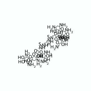 NCC1O[C@H](OC2C(N)C[C@@H](N)C(O)[C@H]2O[C@@H]2O[C@H](CNC(=S)NCCCNC(=S)NC[C@H]3O[C@@H](OC4C(O[C@@H]5OC(CN)C(O)[C@H](O)C5N)C(N)CC(N)[C@@H]4O)C(O)C3O[C@@H]3O[C@H](CN)C(O)C(O)C3N)[C@H](O[C@H]3O[C@@H](CN)C(O)C(O)C3N)C2O)C(N)[C@@H](O)C1O